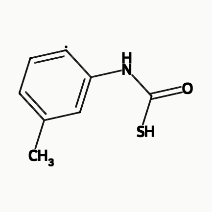 Cc1cc[c]c(NC(=O)S)c1